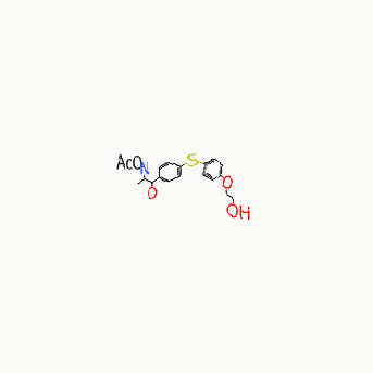 CC(=O)ON=C(C)C(=O)c1ccc(Sc2ccc(OCCO)cc2)cc1